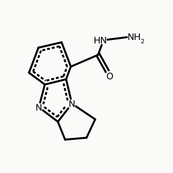 NNC(=O)c1cccc2nc3n(c12)CCC3